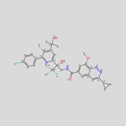 COc1cc(C(=O)NCC(O)(c2cc(C(C)(C)O)c(F)c(-c3ccc(F)cc3)n2)C(F)(F)F)cc2cc(C3CC3)nnc12